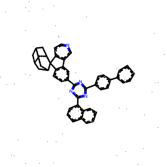 c1ccc(-c2ccc(-c3nc(-c4ccc5c(c4)-c4cnccc4C54C5CC6CC(C5)CC4C6)nc(-c4cccc5ccccc45)n3)cc2)cc1